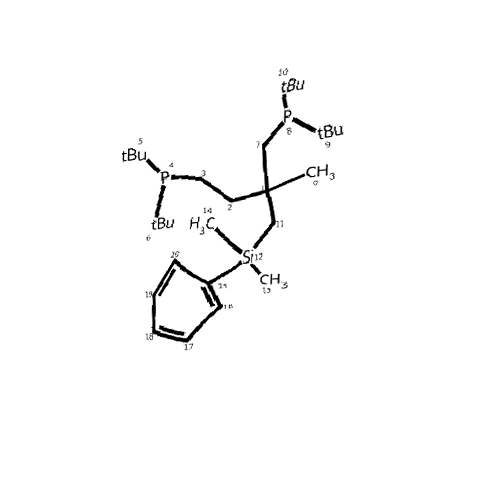 CC(CCP(C(C)(C)C)C(C)(C)C)(CP(C(C)(C)C)C(C)(C)C)C[Si](C)(C)c1ccccc1